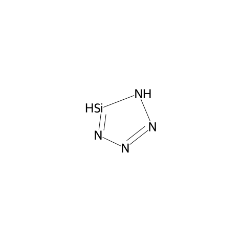 n1n[nH][siH]n1